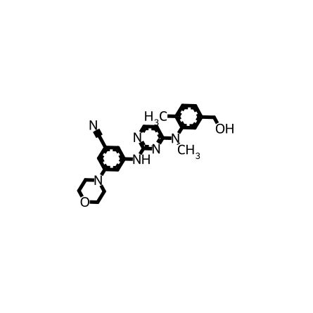 Cc1ccc(CO)cc1N(C)c1ccnc(Nc2cc(C#N)cc(N3CCOCC3)c2)n1